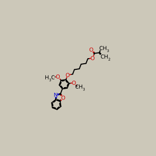 C=C(C)C(=O)OCCCCCCOc1c(OC)cc(-c2nc3ccccc3o2)cc1OC